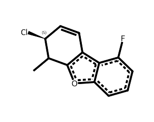 CC1c2oc3cccc(F)c3c2C=C[C@@H]1Cl